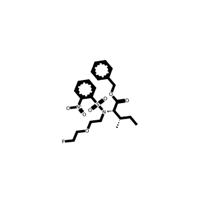 CC[C@H](C)[C@@H](C(=O)OCc1ccccc1)N(CCOCCF)S(=O)(=O)c1ccccc1[N+](=O)[O-]